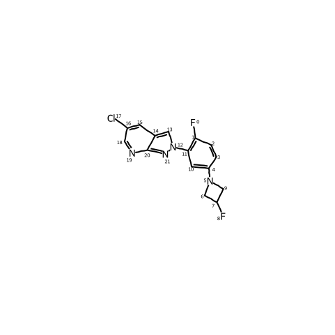 Fc1ccc(N2CC(F)C2)cc1-n1cc2cc(Cl)cnc2n1